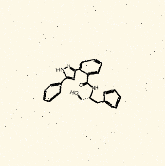 O=C(N[C@@H](CO)Cc1ccccc1)c1ccccc1-c1cc(-c2ccccc2)[nH]n1